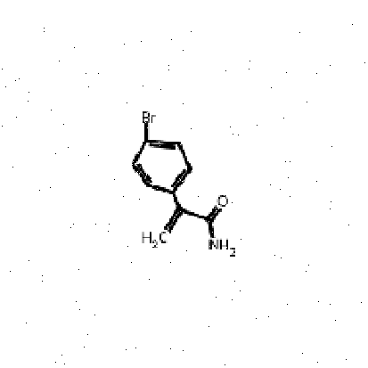 C=C(C(N)=O)c1ccc(Br)cc1